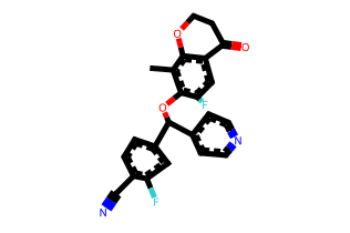 Cc1c(OC(c2ccncc2)c2ccc(C#N)c(F)c2)c(F)cc2c1OCCC2=O